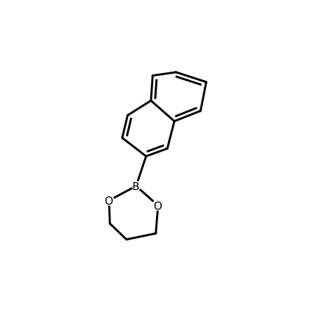 c1ccc2cc(B3OCCCO3)ccc2c1